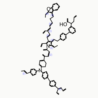 C=C/C=C(\C=C)c1ccc(-c2ccc(N(C3=CC=C(C(=C)/C=C\C(=C)n4c(C=C)c(/C=C/C(C=C)=C/C=C/C/C=c5\c(=C/C)oc6ccccc56)c(=C/Cc5ccc(-c6cccc(C(CC=C)C(=C)O)c6)cc5)/c4=C\C)CC3)c3ccc(/C=C/C)cc3)cc2)cc1